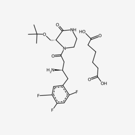 CC(C)(C)OC[C@@H]1C(=O)NCCN1C(=O)C[C@H](N)Cc1cc(F)c(F)cc1F.O=C(O)CCCCC(=O)O